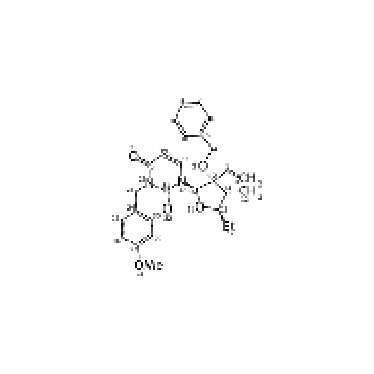 C=C[C@@]1(OCc2ccccc2)[C@H](C)[C@@H](CC)O[C@H]1n1ccc(=O)n(Cc2ccc(OC)cc2)c1=O